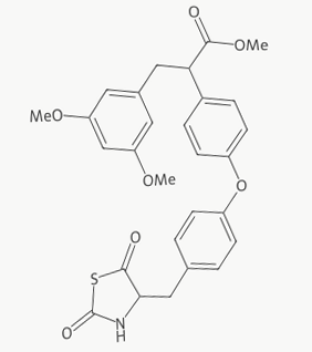 COC(=O)C(Cc1cc(OC)cc(OC)c1)c1ccc(Oc2ccc(CC3NC(=O)SC3=O)cc2)cc1